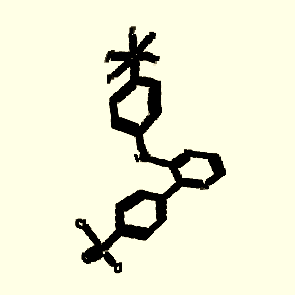 O=P(Cl)(Cl)c1ccc(-c2nccnc2Nc2ccc(S(F)(F)(F)(F)F)cc2)cc1